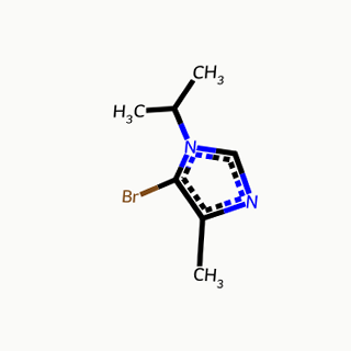 Cc1ncn(C(C)C)c1Br